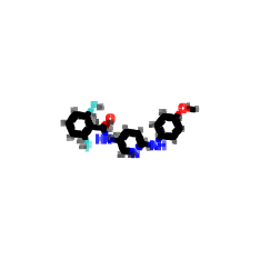 COc1ccc(Nc2ccc(NC(=O)c3c(F)cccc3F)cn2)cc1